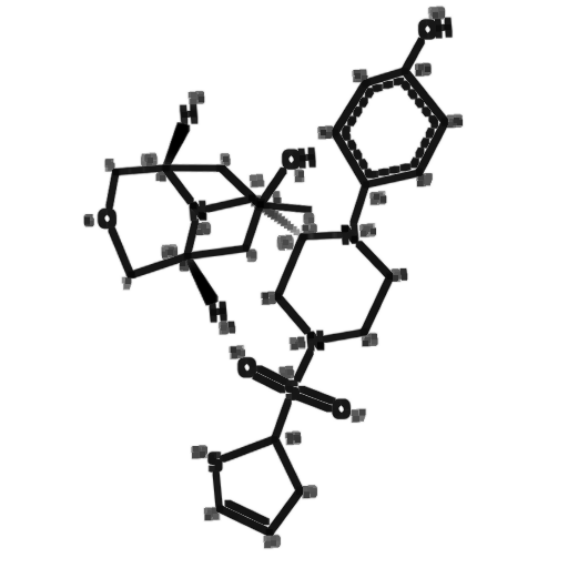 CC1(O)C[C@H]2COC[C@@H](C1)N2C[C@H]1CN(S(=O)(=O)C2CC=CS2)CCN1c1ccc(O)cc1